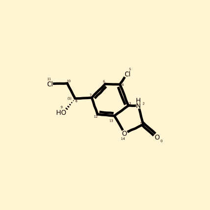 O=c1[nH]c2c(Cl)cc([C@H](O)CCl)cc2o1